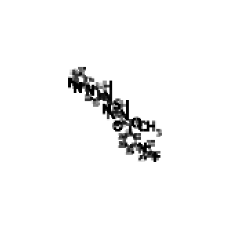 COC(C(=O)Nc1nnc(N[C@@H]2CCN(c3cccnn3)C2)s1)c1cccc(N2CC(F)C2)c1